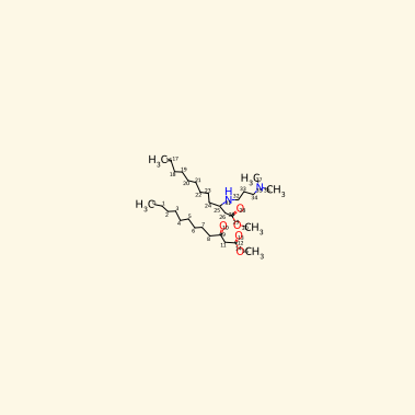 CCCCCCCCCC(=O)CC(=O)OC.CCCCCCCCCC(CC(=O)OC)NCCCN(C)C